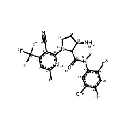 Cc1cc(C(F)(F)F)c(C#N)c(N2CC[C@@H](N)[C@H]2C(=O)N(C)c2cc(Cl)c(F)cc2F)n1